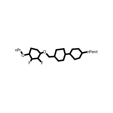 CCCCCC1CCC(C2CCC(COC3CCC(OCCC)C(F)C3F)CC2)CC1